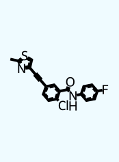 Cc1nc(C#Cc2ccc(Cl)c(C(=O)Nc3ccc(F)cc3)c2)cs1